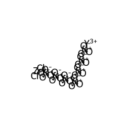 ClOCl.O=[N+]([O-])[O-].O=[N+]([O-])[O-].O=[N+]([O-])[O-].O=[N+]([O-])[O-].O=[N+]([O-])[O-].O=[N+]([O-])[O-].O=[N+]([O-])[O-].[Y+3].[Zr+4]